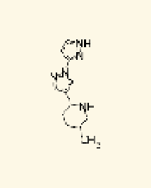 CC1CCC(c2cnn(-c3cc[nH]n3)c2)NC1